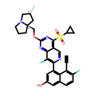 C#Cc1c(F)ccc2cc(O)cc(-c3ncc4c(S(=O)(=O)C5CC5)nc(OC[C@@]56CCCN5C[C@H](F)C6)nc4c3F)c12